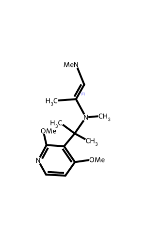 CN/C=C(\C)N(C)C(C)(C)c1c(OC)ccnc1OC